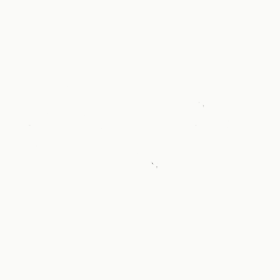 CC1(C)c2ccccc2-c2c(-c3ccc(N(c4ccccc4)c4cc5nc(-c6ccccc6)oc5c5ccccc45)cc3)cccc21